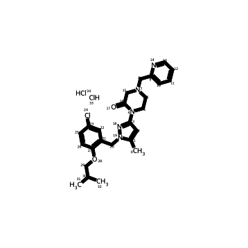 Cc1cc(N2CCN(Cc3ccccn3)CC2=O)nn1Cc1cc(Cl)ccc1OCC(C)C.Cl.Cl